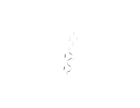 CCC1CCC(CCc2ccc(-c3ccc(C#N)cc3)cc2)C(C)C1